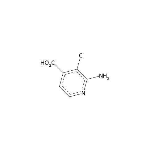 Nc1nccc(C(=O)O)c1Cl